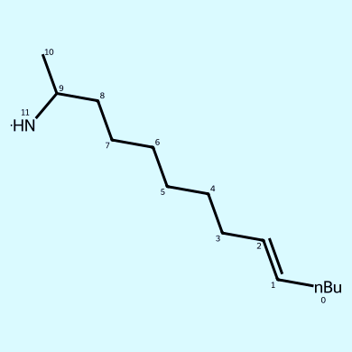 CCCCC=CCCCCCCC(C)[NH]